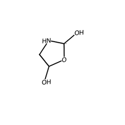 O[C]1NCC(O)O1